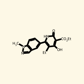 CCOC(=O)c1c(O)c(CC)c(-c2ccc3c(cnn3C)c2)[nH]c1=O